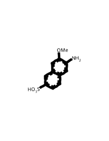 COc1cc2cc(S(=O)(=O)O)ccc2cc1N